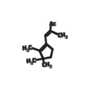 CC(=O)C(C)=CC1=C(C)C(C)(C)CC1